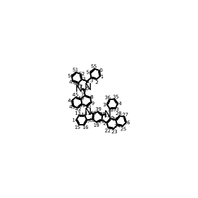 c1ccc(-c2nc(-c3ccc(-n4c5ccccc5c5cc6c7ccc8ccccc8c7n(-c7ccccc7)c6cc54)c4ccccc34)nc3ccccc23)cc1